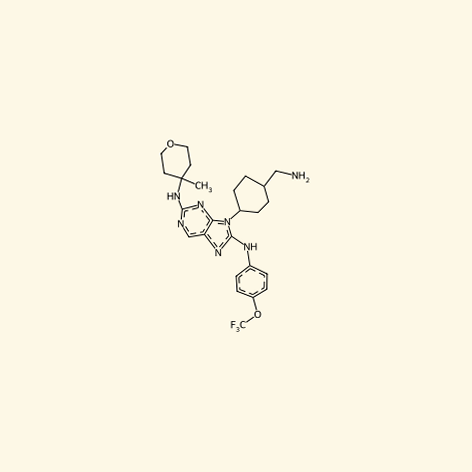 CC1(Nc2ncc3nc(Nc4ccc(OC(F)(F)F)cc4)n(C4CCC(CN)CC4)c3n2)CCOCC1